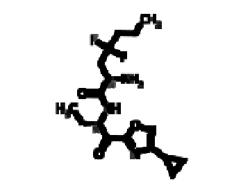 CCCC(F)(F)C[C@H](N)C(=O)N[C@@H](CC)C(=O)c1nc(C2CC2)no1